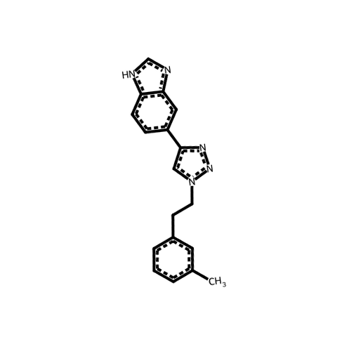 Cc1cccc(CCn2cc(-c3ccc4[nH]cnc4c3)nn2)c1